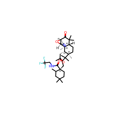 CC(=O)C[C@@H]1[C@@]2(C)[C@H]3O[C@@]3(C#N)C(=O)C(C)(C)[C@@H]2CC[C@@]1(C)C(C)(C)CC[C@@]1(C(=O)NCC(F)(F)F)CCC(C)(C)CC1C